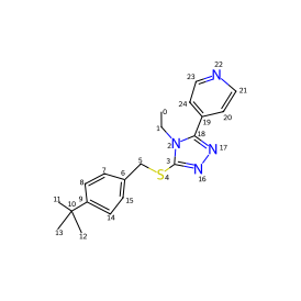 CCn1c(SCc2ccc(C(C)(C)C)cc2)nnc1-c1ccncc1